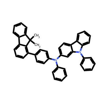 CC1(C)c2ccccc2-c2cccc(-c3ccc(N(c4ccccc4)c4ccc5c6ccccc6n(-c6ccccc6)c5c4)cc3)c21